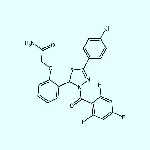 NC(=O)COc1ccccc1C1SC(c2ccc(Cl)cc2)=NN1C(=O)c1c(F)cc(F)cc1F